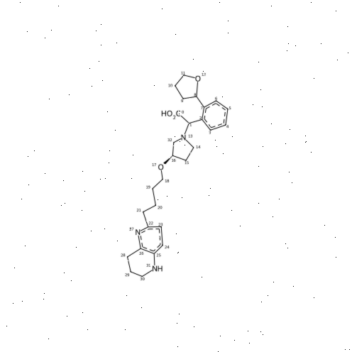 O=C(O)C(c1ccccc1C1CCCO1)N1CC[C@@H](OCCCCc2ccc3c(n2)CCCN3)C1